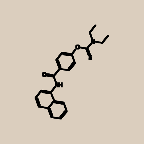 CCN(CC)C(=S)Oc1ccc(C(=O)Nc2cccc3ccccc23)cc1